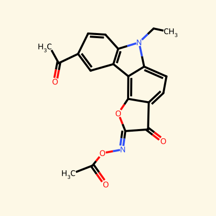 CCn1c2ccc(C(C)=O)cc2c2c3c(ccc21)C(=O)/C(=N/OC(C)=O)O3